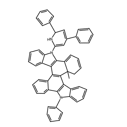 CC12CC=CC=C1c1c(c3ccccc3n1C1=CC(c3ccccc3)=CC(c3ccccc3)N1)-c1c2c2c3ccccc3n(-c3ccccc3)c2c2ccccc12